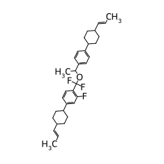 C/C=C/C1CCC(c2ccc(C(C)OC(F)(F)c3ccc(C4CCC(/C=C/C)CC4)cc3F)cc2)CC1